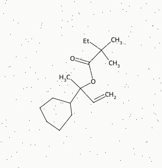 C=CC(C)(OC(=O)C(C)(C)CC)C1CCCCC1